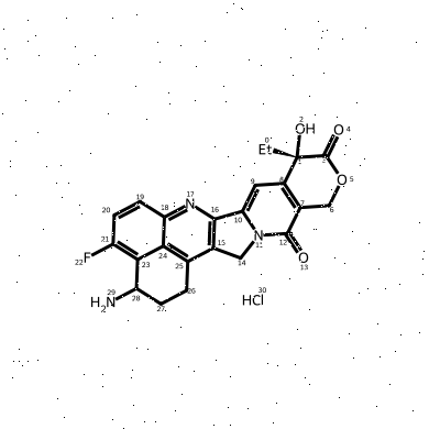 CC[C@@]1(O)C(=O)OCc2c1cc1n(c2=O)Cc2c-1nc1ccc(F)c3c1c2CCC3N.Cl